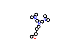 c1ccc2c(c1)oc1ccc(-c3ccc4cc(-n5c6ccc(-n7c8ccccc8c8ccccc87)cc6c6cc(-n7c8ccccc8c8ccccc87)ccc65)ccc4c3)cc12